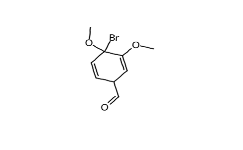 COC1=CC(C=O)C=CC1(Br)OC